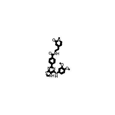 COc1ccc(Nc2nc(-c3ccc(C(=O)NCCc4ccn(C)c(=O)c4)cc3)nc3c2NCS3)cc1OC